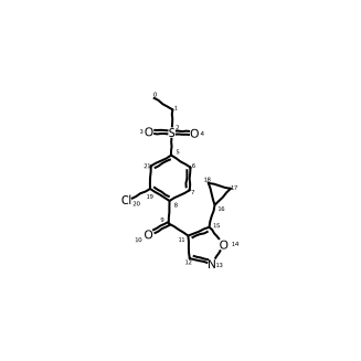 CCS(=O)(=O)c1ccc(C(=O)c2cnoc2C2CC2)c(Cl)c1